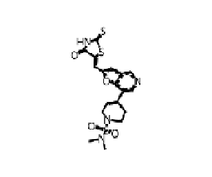 CN(C)S(=O)(=O)N1CC=C(c2cncc3cc(/C=C4\SC(=S)NC4=O)oc23)CC1